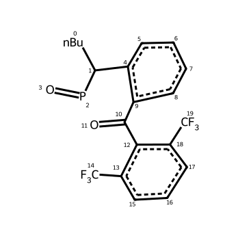 CCCCC(P=O)c1ccccc1C(=O)c1c(C(F)(F)F)cccc1C(F)(F)F